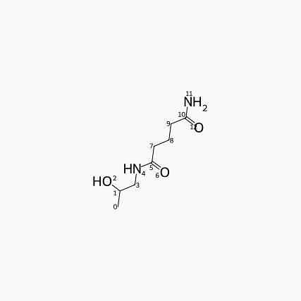 CC(O)CNC(=O)CCCC(N)=O